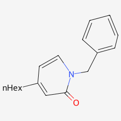 CCCCCCc1ccn(Cc2ccccc2)c(=O)c1